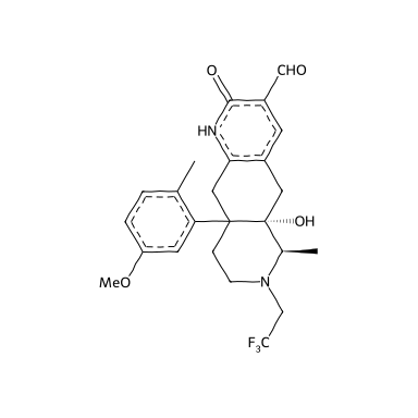 COc1ccc(C)c(C23CCN(CC(F)(F)F)[C@H](C)[C@]2(O)Cc2cc(C=O)c(=O)[nH]c2C3)c1